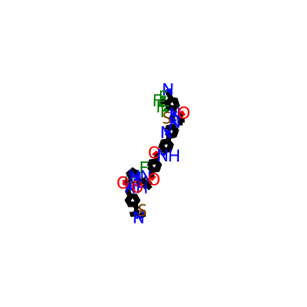 Cc1ncsc1-c1ccc(CNC(=O)[C@@H]2CCCN2C(=O)[C@@H](NC(=O)c2ccc(C(=O)Nc3ccc(-c4ccc(N5C(=S)N(c6ccc(C#N)c(C(F)(F)F)c6F)C(=O)C5(C)C)cn4)cc3)cc2F)C(C)(C)C)cc1